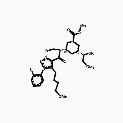 COCCCCc1c(C(=O)N(CC(C)C)[C@H]2C[C@@H](C(O)COC)CN(C(=O)OC(C)(C)C)C2)nnn1-c1ccccc1F